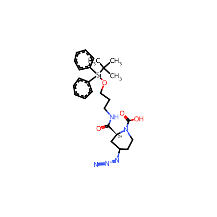 CC(C)(C)[Si](OCCCNC(=O)[C@@H]1CC(N=[N+]=[N-])CCN1C(=O)O)(c1ccccc1)c1ccccc1